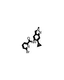 Cn1cc2cc(NC(=O)c3cccc(Br)n3)c(C3CC3)cc2n1